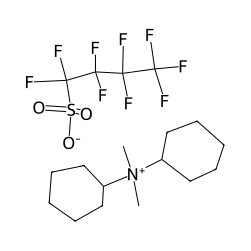 C[N+](C)(C1CCCCC1)C1CCCCC1.O=S(=O)([O-])C(F)(F)C(F)(F)C(F)(F)C(F)(F)F